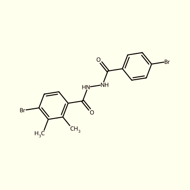 Cc1c(Br)ccc(C(=O)NNC(=O)c2ccc(Br)cc2)c1C